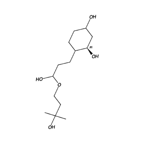 CC(C)(O)CCOC(O)CCC1CCC(O)C[C@H]1O